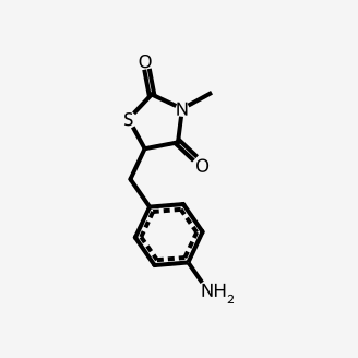 CN1C(=O)SC(Cc2ccc(N)cc2)C1=O